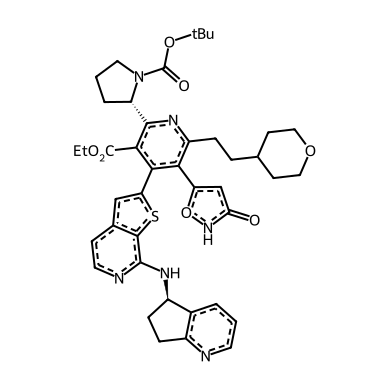 CCOC(=O)c1c([C@@H]2CCCN2C(=O)OC(C)(C)C)nc(CCC2CCOCC2)c(-c2cc(=O)[nH]o2)c1-c1cc2ccnc(N[C@@H]3CCc4ncccc43)c2s1